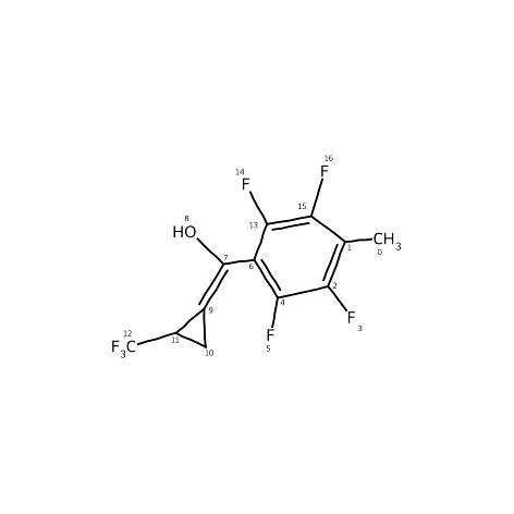 Cc1c(F)c(F)c(/C(O)=C2\CC2C(F)(F)F)c(F)c1F